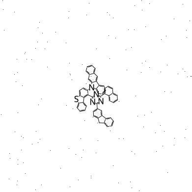 c1ccc2c(c1)Cc1ccc(-c3nc(-c4cccc5ccccc45)nc(-c4c(-n5c6ccccc6c6cc7ccccc7cc65)ccc5sc6ccccc6c45)n3)cc1-2